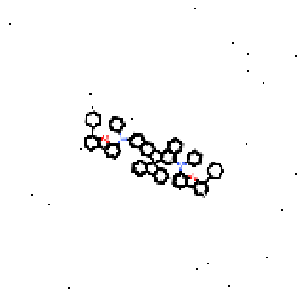 c1ccc(N(c2ccc3cc4c(cc3c2)C2(c3ccccc3-c3ccccc32)c2cc(N(c3ccccc3)c3cccc5c3oc3c(C6CCCCC6)cccc35)c3ccccc3c2-4)c2cccc3c2oc2c(C4CCCCC4)cccc23)cc1